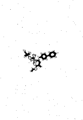 CCOC(=O)C(C)=C[C@@H](Cc1ccc(-c2ccccc2)cc1)NC(=O)OC(C)(C)C